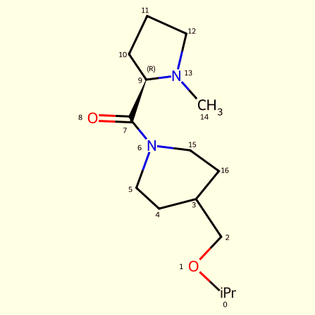 CC(C)OCC1CCN(C(=O)[C@H]2CCCN2C)CC1